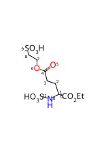 CCOC(=O)[C@H](CCC(=O)OCCS(=O)(=O)O)NS(=O)(=O)O